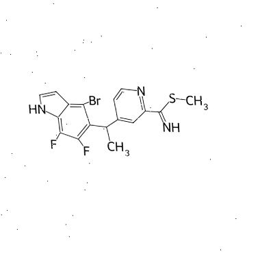 CSC(=N)c1cc(C(C)c2c(F)c(F)c3[nH]ccc3c2Br)ccn1